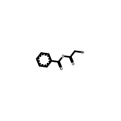 O=C(CBr)OC(=O)c1ccccc1